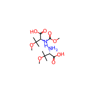 COC(=O)N[C@H](C(=O)O)C(C)(C)OC.COC(C)(C)[C@H](N)C(=O)O